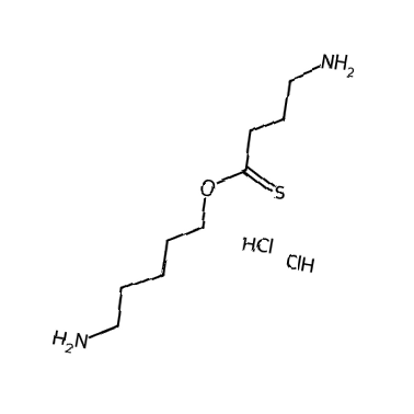 Cl.Cl.NCCCCCOC(=S)CCCN